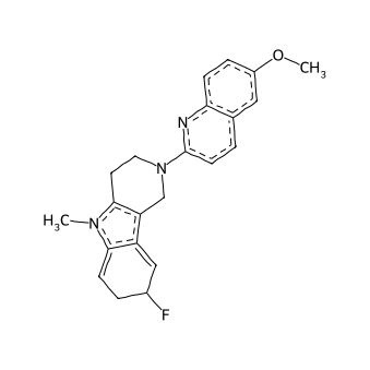 COc1ccc2nc(N3CCc4c(c5c(n4C)=CCC(F)C=5)C3)ccc2c1